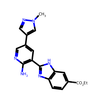 CCOC(=O)c1ccc2nc(-c3cc(-c4cnn(C)c4)cnc3N)[nH]c2c1